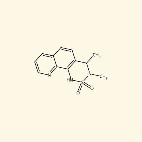 CC1c2ccc3cccnc3c2NS(=O)(=O)N1C